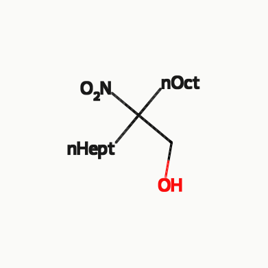 CCCCCCCCC(CO)(CCCCCCC)[N+](=O)[O-]